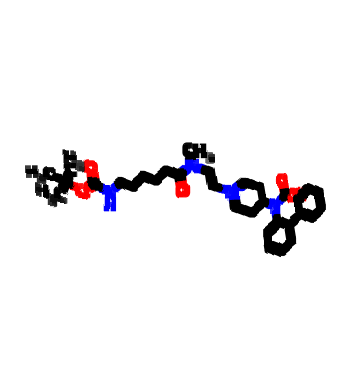 CN(CCN1CCC(N(C(=O)O)c2ccccc2-c2ccccc2)CC1)C(=O)CCCCCNC(=O)OC(C)(C)C